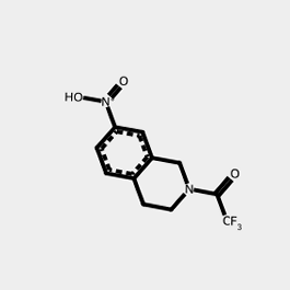 O=C(N1CCc2ccc([N+](=O)O)cc2C1)C(F)(F)F